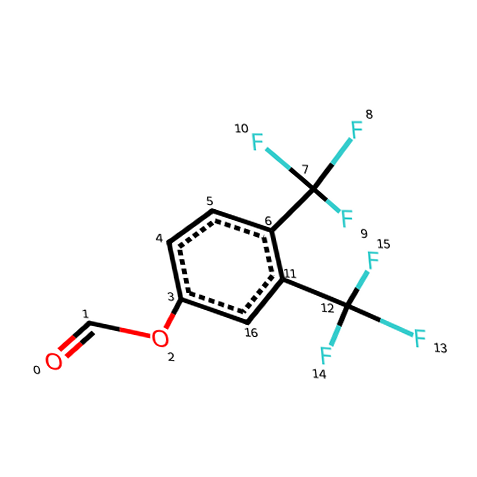 O=COc1ccc(C(F)(F)F)c(C(F)(F)F)c1